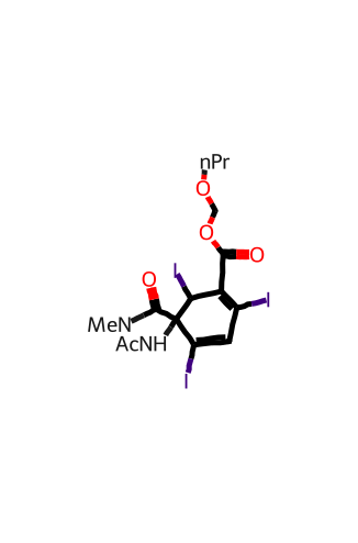 CCCOCOC(=O)C1=C(I)C=C(I)C(NC(C)=O)(C(=O)NC)C1I